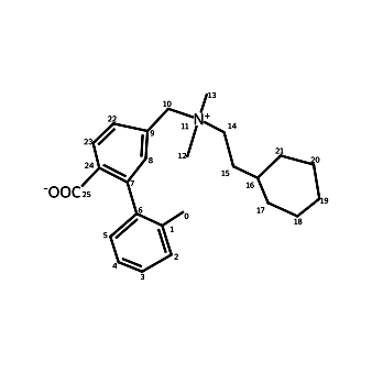 Cc1ccccc1-c1cc(C[N+](C)(C)CCC2CCCCC2)ccc1C(=O)[O-]